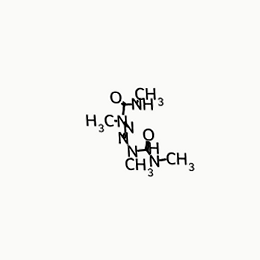 CNC(=O)N(C)N=NN(C)C(=O)NC